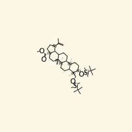 C=C(C)[C@@H]1CC[C@]2(C(=O)OC)CC[C@]3(C)C(CCC4[C@@]5(C)CC[C@H](O[Si](C)(C)C(C)(C)C)[C@@](C)(CO[Si](C)(C)C(C)(C)C)C5CC[C@]43C)C12